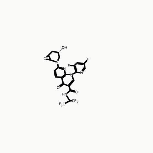 O=C(NC(C(F)(F)F)C(F)(F)F)c1cn(-c2ncc(F)cc2F)c2nc(N3C[C@@H](O)CC4OC43)ccc2c1=O